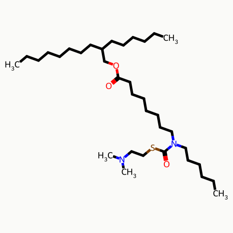 CCCCCCCCC(CCCCCC)COC(=O)CCCCCCCN(CCCCCC)C(=O)SCCN(C)C